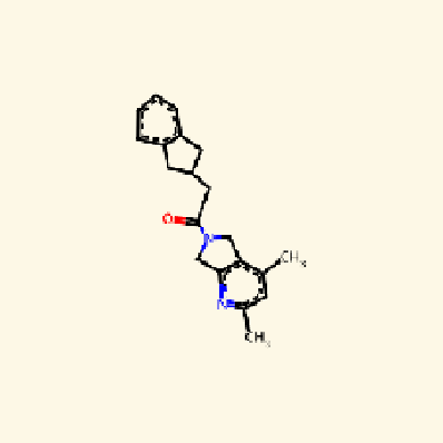 Cc1cc(C)c2c(n1)CN(C(=O)CC1Cc3ccccc3C1)C2